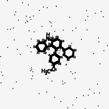 COc1ccc(-c2c(C3CCCCC3)ccc3[nH]c4ccccc4c23)cc1